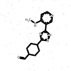 CNc1ccncc1-c1nnc(C2CCC(C=O)CC2)s1